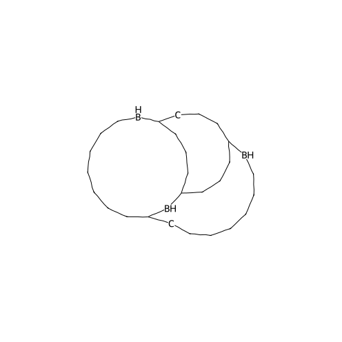 B1CCCCCCCC2BC3CCCC1CCCC(BCCCCCCC2)CCC3